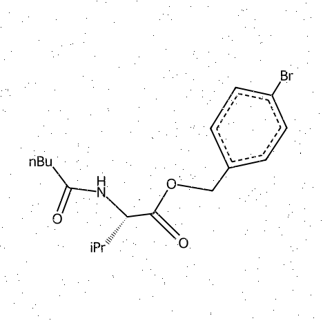 CCCCC(=O)N[C@H](C(=O)OCc1ccc(Br)cc1)C(C)C